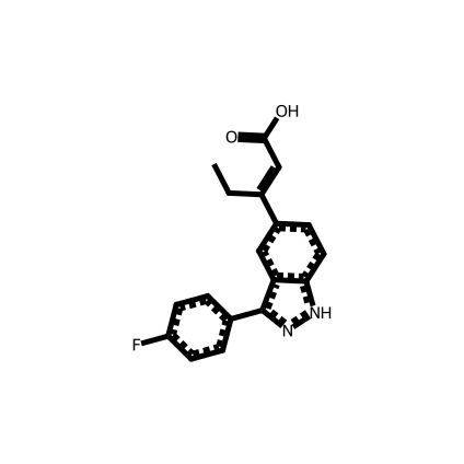 CC/C(=C\C(=O)O)c1ccc2[nH]nc(-c3ccc(F)cc3)c2c1